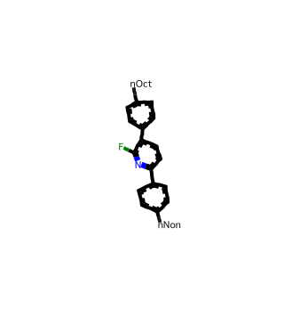 CCCCCCCCCc1ccc(-c2ccc(-c3ccc(CCCCCCCC)cc3)c(F)n2)cc1